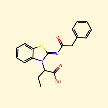 CCC(C(=O)O)n1c(=NC(=O)Cc2ccccc2)sc2ccccc21